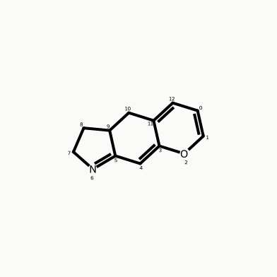 C1=COC2=CC3=NCCC3CC2=C1